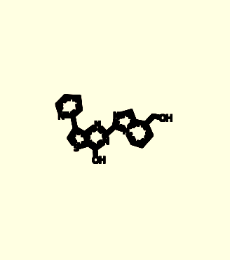 OCc1cccn2c(-c3nc(O)c4scc(-c5ccccn5)c4n3)ncc12